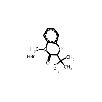 Br.CN1C(=O)C(C(C)(C)C)Oc2ccccc21